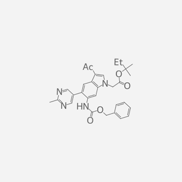 CCC(C)(C)OC(=O)Cn1cc(C(C)=O)c2cc(-c3cnc(C)nc3)c(NC(=O)OCc3ccccc3)cc21